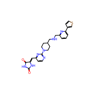 O=C1NC(=O)/C(=C/c2ccnc(N3CCC(CNCc4cccc(-c5ccsc5)n4)CC3)n2)N1